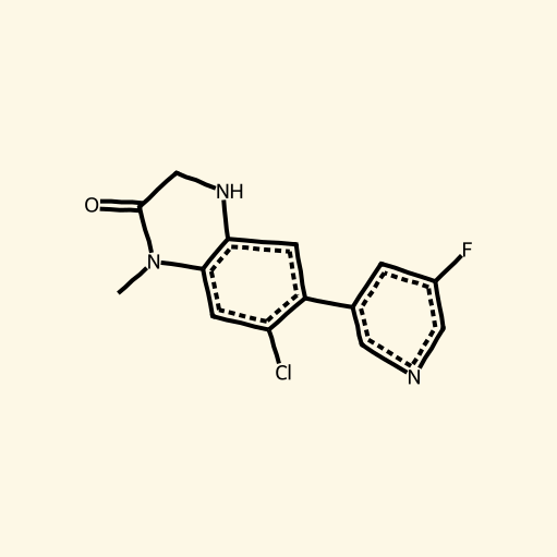 CN1C(=O)CNc2cc(-c3cncc(F)c3)c(Cl)cc21